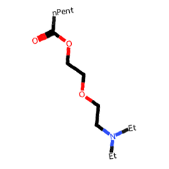 CCCCCC(=O)OCCOCCN(CC)CC